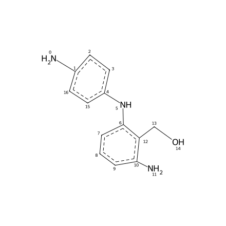 Nc1ccc(Nc2cccc(N)c2CO)cc1